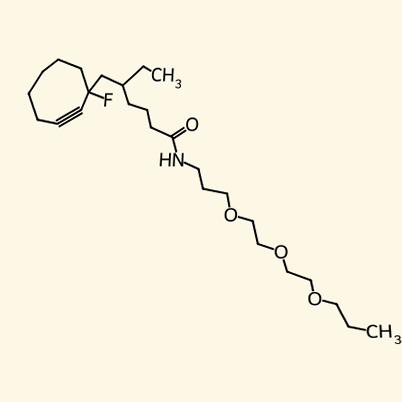 CCCOCCOCCOCCCNC(=O)CCCC(CC)CC1(F)C#CCCCCC1